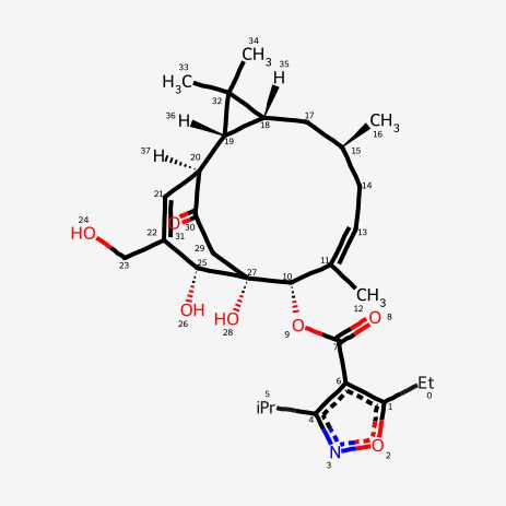 CCc1onc(C(C)C)c1C(=O)O[C@H]1/C(C)=C\C[C@H](C)C[C@@H]2[C@H]([C@@H]3C=C(CO)[C@@H](O)[C@@]1(O)CC3=O)C2(C)C